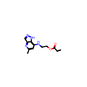 CCC(=O)OCCNc1cc(C)nc2cn[nH]c12